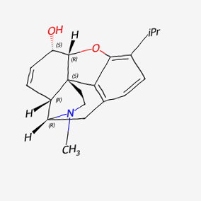 CC(C)c1ccc2c3c1O[C@H]1[C@@H](O)C=C[C@H]4[C@@H](C2)N(C)CC[C@@]341